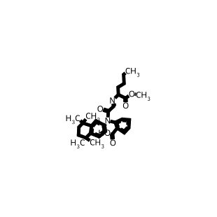 CCCCC(N=CC(=O)N(c1ccc2c(c1)C(C)(C)CCC2(C)C)c1ccccc1C(=O)O)C(=O)OC